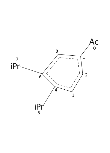 CC(=O)c1ccc(C(C)C)c(C(C)C)c1